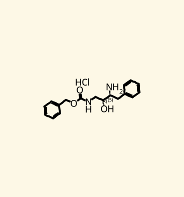 Cl.N[C@@H](Cc1ccccc1)[C@H](O)CNC(=O)OCc1ccccc1